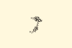 Cc1ccc(S(=O)(=O)OCCCCCc2cc(F)cc(F)c2C(=O)OC(C)(C)C)cc1